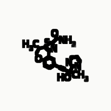 CC1COc2ccc(C#C[C@@](C)(O)c3ncccn3)cc2-c2nc(C(N)=O)sc21